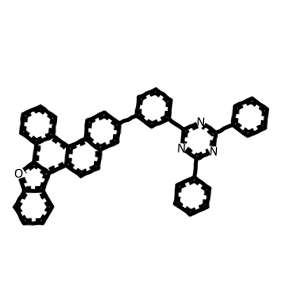 c1ccc(-c2nc(-c3ccccc3)nc(-c3cccc(-c4ccc5c(ccc6c5c5ccccc5c5oc7ccccc7c65)c4)c3)n2)cc1